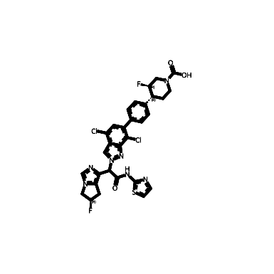 O=C(Nc1nccs1)C(c1ncn2c1C[C@@H](F)C2)n1cc2c(Cl)cc(-c3ccc([C@H]4CCN(C(=O)O)C[C@@H]4F)cc3)c(Cl)c2n1